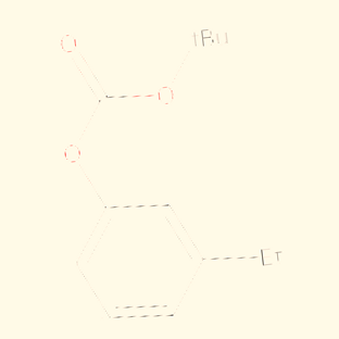 CCc1c[c]cc(OC(=O)OC(C)(C)C)c1